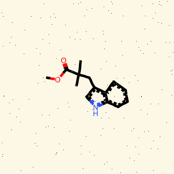 COC(=O)C(C)(C)Cc1c[nH]c2ccccc12